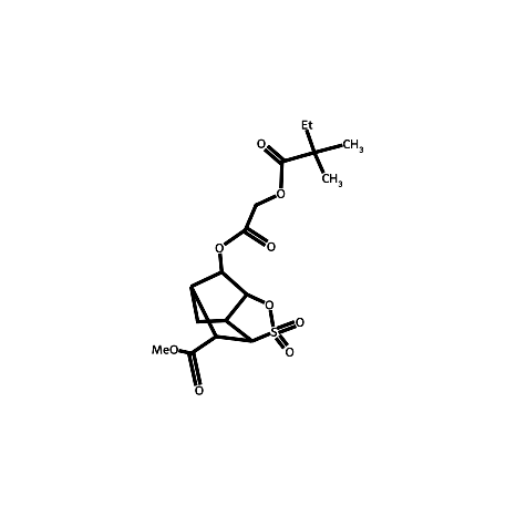 CCC(C)(C)C(=O)OCC(=O)OC1C2CC3C1OS(=O)(=O)C3C2C(=O)OC